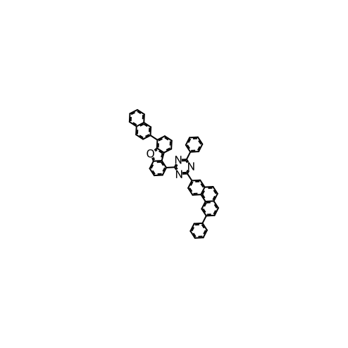 c1ccc(-c2ccc3ccc4cc(-c5nc(-c6ccccc6)nc(-c6cccc7oc8c(-c9ccc%10ccccc%10c9)cccc8c67)n5)ccc4c3c2)cc1